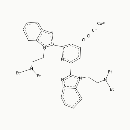 CCN(CC)CCn1c(-c2cccc(-c3nc4ccccc4n3CCN(CC)CC)n2)nc2ccccc21.[Cl-].[Cl-].[Cl-].[Co+3]